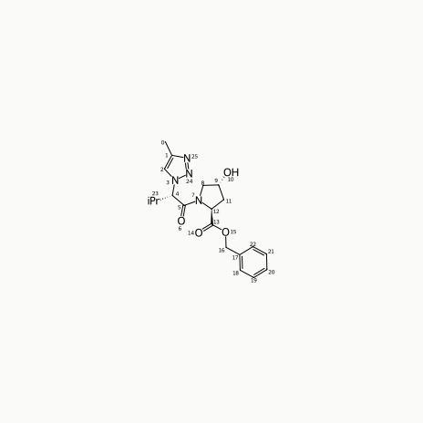 Cc1cn([C@H](C(=O)N2C[C@H](O)C[C@H]2C(=O)OCc2ccccc2)C(C)C)nn1